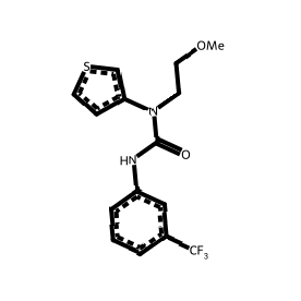 COCCN(C(=O)Nc1cccc(C(F)(F)F)c1)c1ccsc1